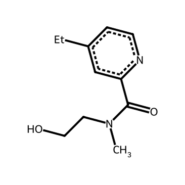 CCc1ccnc(C(=O)N(C)CCO)c1